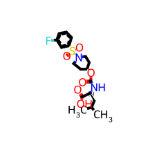 CC(C)C[C@H](NC(=O)OC1CCN(S(=O)(=O)c2cccc(F)c2)CC1)C(=O)O